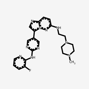 CN1CCN(CCNc2ccc3ncc(-c4cnc(Nc5ncccc5F)nc4)n3n2)CC1